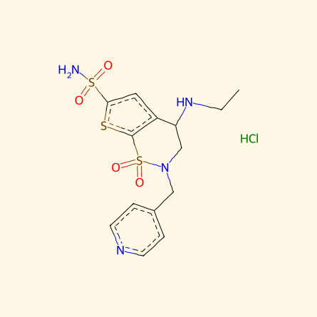 CCNC1CN(Cc2ccncc2)S(=O)(=O)c2sc(S(N)(=O)=O)cc21.Cl